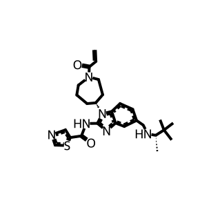 C=CC(=O)N1CCC[C@@H](n2c(NC(=O)c3cncs3)nc3cc(CN[C@@H](C)C(C)(C)C)ccc32)CC1